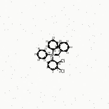 Clc1cccc(P(=Cc2ccccc2)(c2ccccc2)c2ccccc2)c1Cl